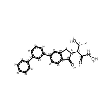 C[C@@H](O)[C@@H](C(=O)NO)N1Cc2cc(-c3cccc(-c4ccccc4)c3)ccc2C1=O